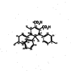 Cc1ccc(N2C(C(=O)O)=C(C(=O)O)C(C)N(c3ccc(C)cc3)C2(C)c2ccncc2)cc1